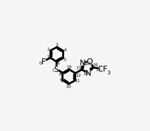 Fc1ccccc1Sc1[c]ccc(-c2noc(C(F)(F)F)n2)c1